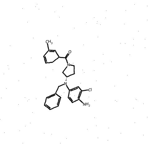 CC1=CC(C(=O)N2CC[C@H](N(Cc3ccccc3)c3ccc(N)c(Cl)c3)C2)CC=C1